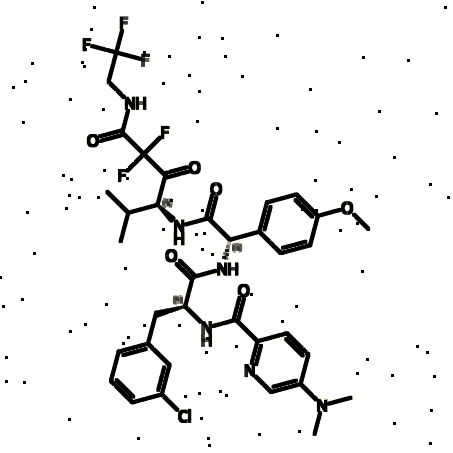 COc1ccc([C@H](NC(=O)[C@H](Cc2cccc(Cl)c2)NC(=O)c2ccc(N(C)C)cn2)C(=O)N[C@H](C(=O)C(F)(F)C(=O)NCC(F)(F)F)C(C)C)cc1